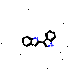 [c]1c(-c2c[nH]c3ccccc23)[nH]c2ccccc12